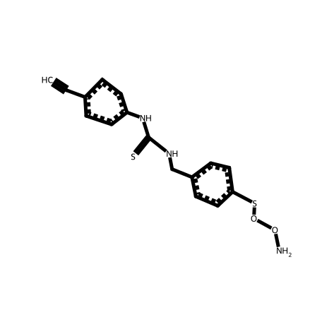 C#Cc1ccc(NC(=S)NCc2ccc(SOON)cc2)cc1